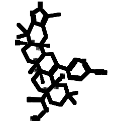 CCCCOC(=O)[C@]12CCC(C)(C)C[C@H]1C1=C(c3ccc(OC)nc3)CC3[C@@]4(C)Cc5c(n[nH]c5C)C(C)(C)[C@@H]4CC[C@@]3(C)[C@]1(C)CC2